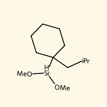 CO[SiH](OC)C1(CC(C)C)CCCCC1